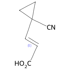 N#CC1(/C=C/C(=O)O)CC1